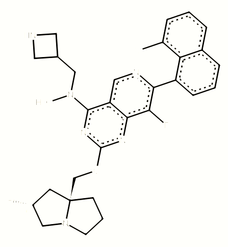 CN(CC1CNC1)c1nc(OC[C@@]23CCCN2C[C@H](F)C3)nc2c(F)c(-c3cccc4cccc(Cl)c34)ncc12